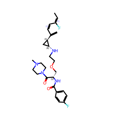 C=C(/C=C\C(F)=C/C)[C@@H]1C[C@H]1NCCOC[C@H](NC(=O)c1ccc(F)cc1)C(=O)N1CCN(C)CC1